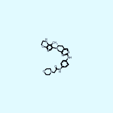 Cc1c(N2CCc3cnc(Nc4ccc(NC(=O)CN5CCOCC5)cc4)nc3C2)cnc2c1NCCO2